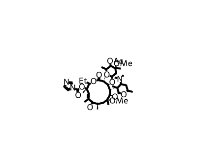 CCC1OC(=O)[C@H](C)[C@@H](OC2CC(C)(OC)C(OC(C)=O)C(C)O2)[C@H](C)[C@@H](OC2OC(C)CC(N(C)C)C2C)[C@@](C)(OC)C[C@@H](C)C(=O)/C(C)=C/[C@]1(C)OC(=O)n1ccnc1